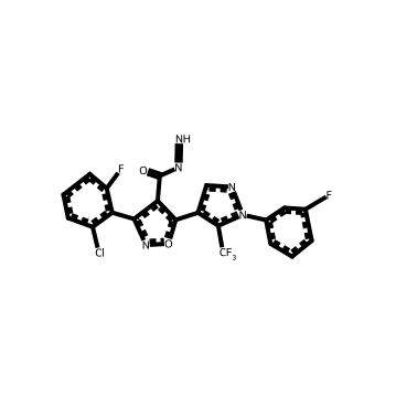 N=NC(=O)c1c(-c2c(F)cccc2Cl)noc1-c1cnn(-c2cccc(F)c2)c1C(F)(F)F